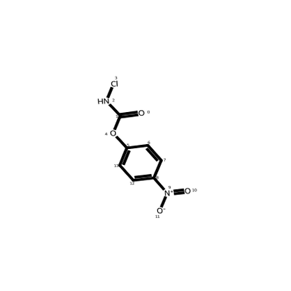 O=C(NCl)Oc1ccc([N+](=O)[O-])cc1